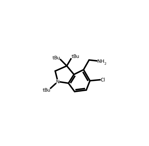 CC(C)(C)N1CC(C(C)(C)C)(C(C)(C)C)c2c1ccc(Cl)c2CN